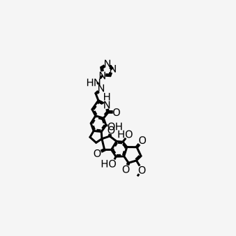 COC1=CC(=O)c2c(O)c3c(c(O)c2C1=O)C(=O)C1(CCc2cc4cc(C=NNn5cnnc5)[nH]c(=O)c4c(O)c21)C3=O